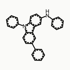 c1ccc(Nc2ccc3c(c2)c2cc(-c4ccccc4)ccc2n3-c2ccccc2)cc1